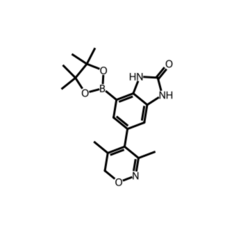 CC1=NOCC(C)=C1c1cc(B2OC(C)(C)C(C)(C)O2)c2[nH]c(=O)[nH]c2c1